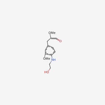 COC(=C=O)Cc1ccc(NCCO)c(OC)c1